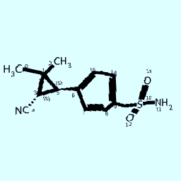 CC1(C)[C@@H](C#N)[C@@H]1c1ccc(S(N)(=O)=O)cc1